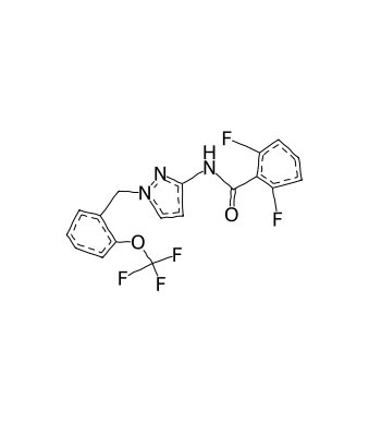 O=C(Nc1ccn(Cc2ccccc2OC(F)(F)F)n1)c1c(F)cccc1F